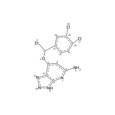 CCC(Oc1cc(N)nc2[nH]nnc12)c1ccc(Cl)c(Cl)c1